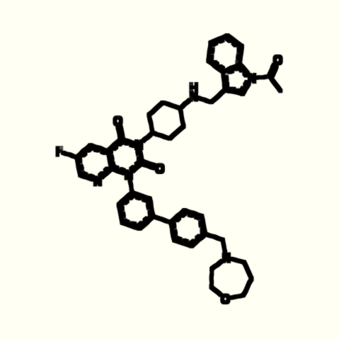 CC(=O)n1cc(CNC2CCC(n3c(=O)c4cc(F)cnc4n(-c4cccc(-c5ccc(CN6CCCOCC6)cc5)c4)c3=O)CC2)c2ccccc21